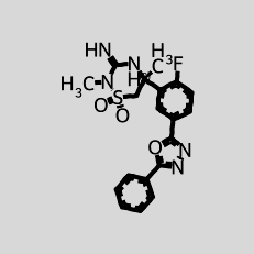 CN1C(=N)N[C@](C)(c2cc(-c3nnc(-c4ccccc4)o3)ccc2F)CS1(=O)=O